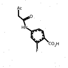 CC(=O)CC(=O)Nc1ccc(C(=O)O)c(F)c1